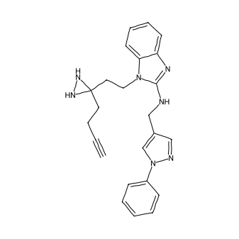 C#CCCC1(CCn2c(NCc3cnn(-c4ccccc4)c3)nc3ccccc32)NN1